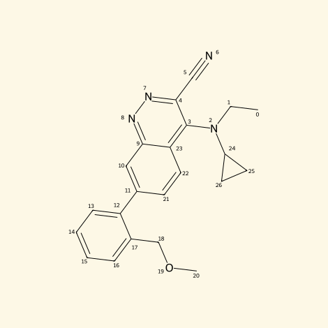 CCN(c1c(C#N)nnc2cc(-c3ccccc3COC)ccc12)C1CC1